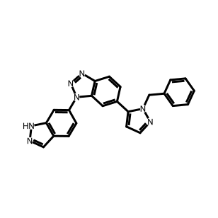 c1ccc(Cn2nccc2-c2ccc3nnn(-c4ccc5cn[nH]c5c4)c3c2)cc1